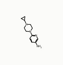 Nc1ccc(N2CCN(C3CC3)CC2)nc1